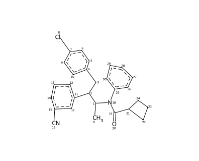 CC(C(Cc1ccc(Cl)cc1)c1cccc(C#N)c1)N(C(=O)C1CCC1)c1ccccc1